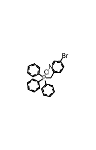 ClP(Cc1ccc(Br)cn1)(c1ccccc1)(c1ccccc1)c1ccccc1